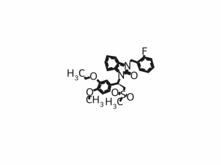 CCOc1cc([C@H](CS(C)(=O)=O)n2c(=O)n(Cc3ccccc3F)c3ccccc32)ccc1OC